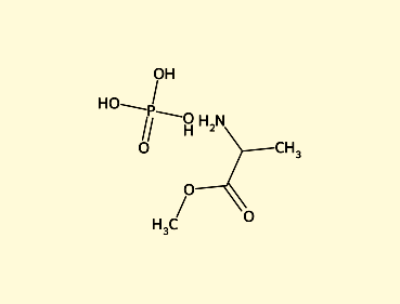 COC(=O)C(C)N.O=P(O)(O)O